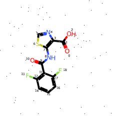 O=C(O)c1ncsc1NC(=O)c1c(F)cccc1F